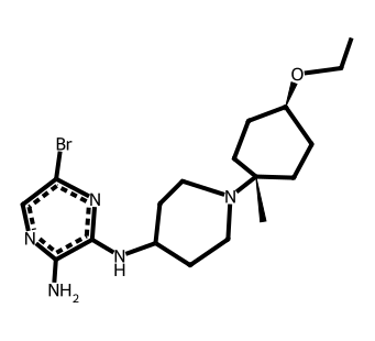 CCO[C@H]1CC[C@](C)(N2CCC(Nc3nc(Br)cnc3N)CC2)CC1